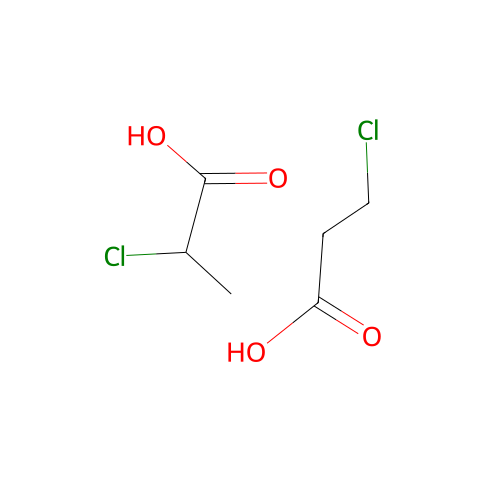 CC(Cl)C(=O)O.O=C(O)CCCl